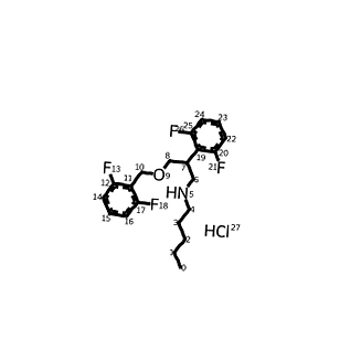 CCCCCNCC(COCc1c(F)cccc1F)c1c(F)cccc1F.Cl